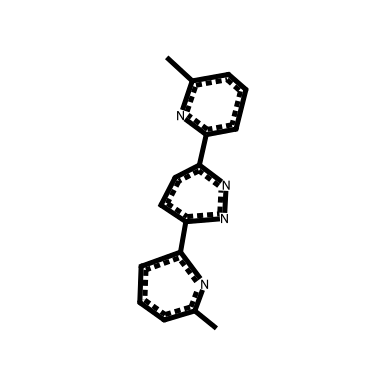 Cc1cccc(-c2ccc(-c3cccc(C)n3)nn2)n1